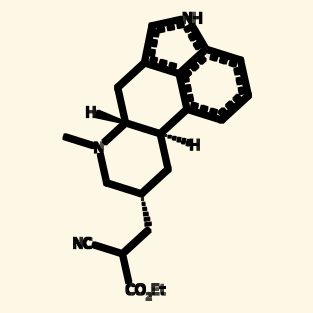 CCOC(=O)C(C#N)C[C@H]1C[C@@H]2c3cccc4[nH]cc(c34)C[C@H]2N(C)C1